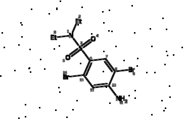 CCN(CC)S(=O)(=O)c1cc(Br)c(N)cc1Br